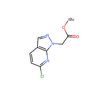 CC(C)(C)OC(=O)Cn1ncc2ccc(Cl)nc21